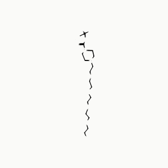 CC(C)(C)OC(=O)N1CCN(CCOCCOCCOCCOCCO)CC1